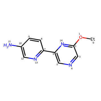 CCOc1cncc(-c2ccc(N)cn2)n1